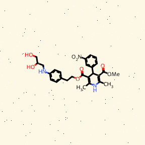 COC(=O)C1=C(C)NC(C)=C(C(=O)OCCc2ccc(NCC(O)CO)cc2)C1c1cccc([N+](=O)[O-])c1